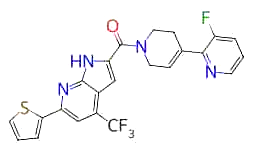 O=C(c1cc2c(C(F)(F)F)cc(-c3cccs3)nc2[nH]1)N1CC=C(c2ncccc2F)CC1